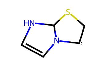 [C]1CSC2NC=CN12